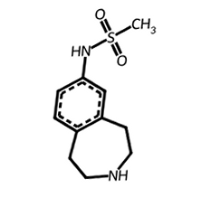 CS(=O)(=O)Nc1ccc2c(c1)CCNCC2